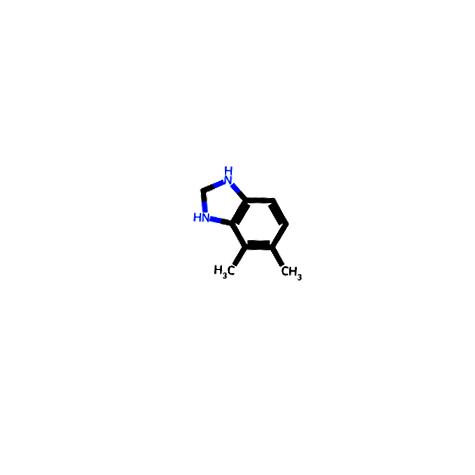 Cc1ccc2c(c1C)NCN2